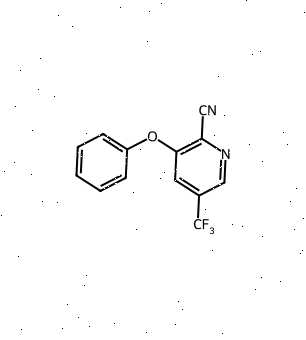 N#Cc1ncc(C(F)(F)F)cc1Oc1ccccc1